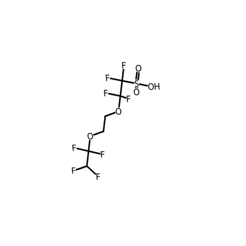 O=S(=O)(O)C(F)(F)C(F)(F)OCCOC(F)(F)C(F)F